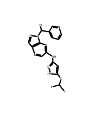 CCC(c1cccnc1)n1ncc2ncc(Nc3cc(OC(F)F)[nH]n3)nc21